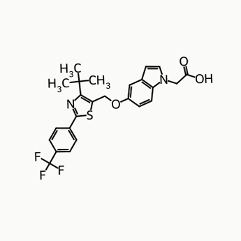 CC(C)(C)c1nc(-c2ccc(C(F)(F)F)cc2)sc1COc1ccc2c(ccn2CC(=O)O)c1